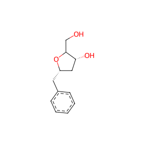 OCC1O[C@@H](Cc2ccccc2)C[C@H]1O